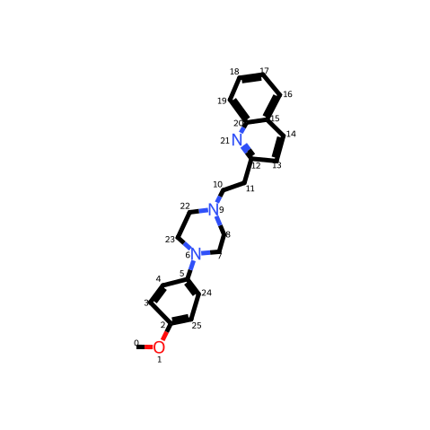 COc1ccc(N2CCN(CCc3ccc4ccccc4n3)CC2)cc1